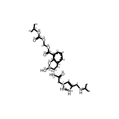 CC(C)NCC1=CN(CC(=O)N[C@H]2Cc3cccc(C(=O)OCOC(=O)OC(C)C)c3OB2O)NN1